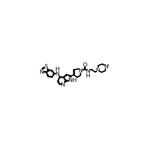 CN1CCN(CCNC(=O)N2CC=C(c3cc4c(Nc5ccc6ncsc6c5)ccnc4[nH]3)CC2)CC1